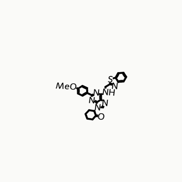 COc1ccc(-c2nc(NCc3nc4ccccc4s3)c3ncn(C4CCCCC4=O)c3n2)cc1